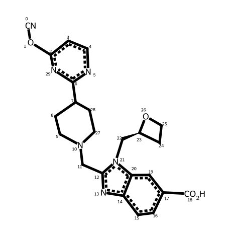 N#COc1ccnc(C2CCN(Cc3nc4ccc(C(=O)O)cc4n3C[C@@H]3CCO3)CC2)n1